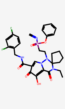 C=NP(=O)(CCN1n2cc(C(=O)NCc3ccc(F)cc3F)c(=O)c(O)c2C(=O)N(CC)C12CCCC2)Oc1ccccc1